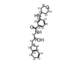 O=C(NC[C@@H](O)CN1CC2=C(CCC=C2)C1)c1cccc(NC2CCOCC2)c1